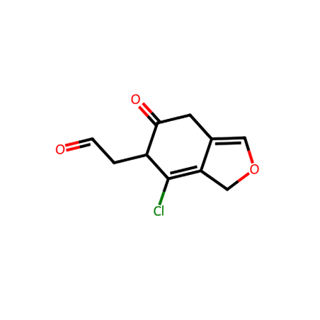 O=CCC1C(=O)CC2=COCC2=C1Cl